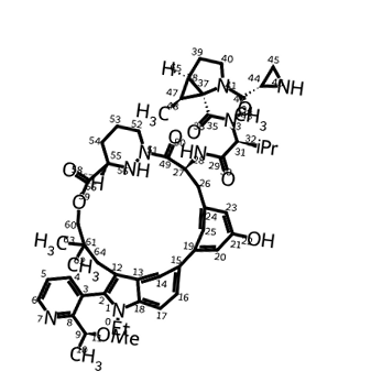 CCn1c(-c2cccnc2[C@H](C)OC)c2c3cc(ccc31)-c1cc(O)cc(c1)C[C@H](NC(=O)[C@H](C(C)C)N(C)C(=O)[C@]13[C@H](CCN1C(=O)[C@@H]1CN1)[C@@H]3C)C(=O)N1CCC[C@H](N1)C(=O)OCC(C)(C)C2